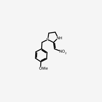 COc1ccc(CN2CCNC2=C[N+](=O)[O-])cc1